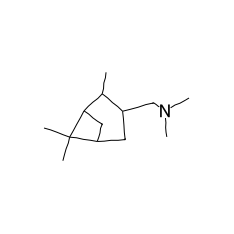 CC1C(CN(C)C)CC2CC1C2(C)C